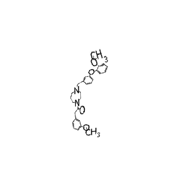 COc1cccc(CC(=O)N2CCCN(Cc3cccc(Oc4ccccc4OC)c3)CC2)c1